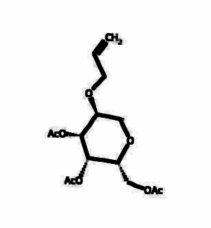 C=CCO[C@H]1[CH]O[C@H](COC(C)=O)[C@H](OC(C)=O)[C@@H]1OC(C)=O